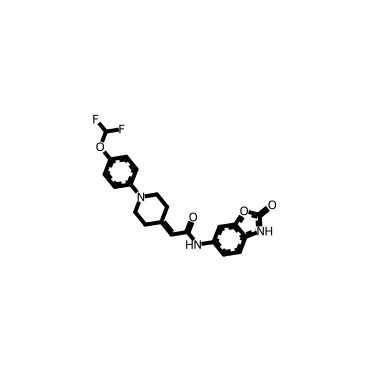 O=C(C=C1CCN(c2ccc(OC(F)F)cc2)CC1)Nc1ccc2[nH]c(=O)oc2c1